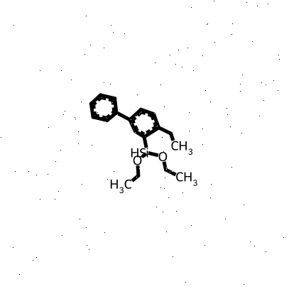 CCO[SiH](OCC)c1cc(-c2ccccc2)ccc1CC